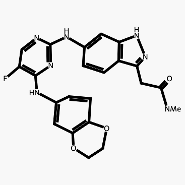 CNC(=O)Cc1n[nH]c2cc(Nc3ncc(F)c(Nc4ccc5c(c4)OCCO5)n3)ccc12